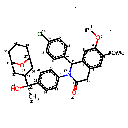 COc1cc2c(cc1OC(C)C)C(c1ccc(Cl)cc1)N(c1ccc([C@@](C)(O)C3CC4CCCC(C3)O4)cc1)C(=O)C2